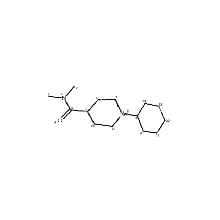 CN(C)C(=O)C1CCN(C2CCCCC2)CC1